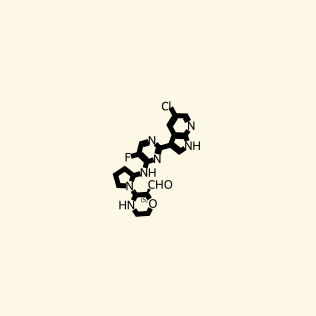 O=C[C@H]1OCCNC1N1CCCC1Nc1nc(-c2c[nH]c3ncc(Cl)cc23)ncc1F